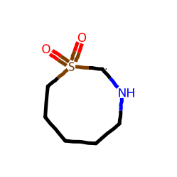 O=S1(=O)[CH]NCCCCC1